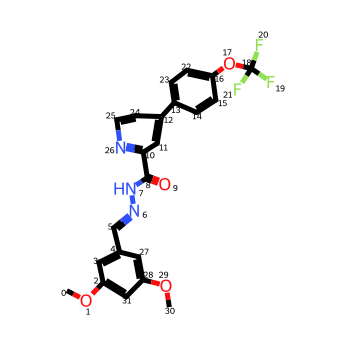 COc1cc(C=NNC(=O)c2cc(-c3ccc(OC(F)(F)F)cc3)ccn2)cc(OC)c1